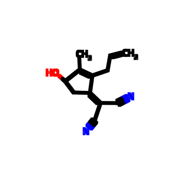 C=CCC1=C(C)C(O)CC1=C(C#N)C#N